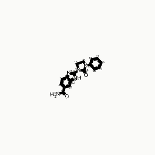 NC(=O)c1ccc2nc(N3CCN(c4ccccc4)C3=O)[nH]c2c1